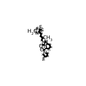 C=N/C(=C\C=C(/C)Cn1nc2n(c1=O)[C@H](C(=O)N1CC[C@H](F)C1)CCC2)C(F)(F)F